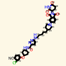 N#Cc1ccc(O[C@H]2CC[C@H](NC(=O)c3ccc(NCCCCCC4CCN(c5ccc6c(c5)C(=O)N(C5CCC(=O)NC5=O)C6=O)CC4)nn3)CC2)cc1Cl